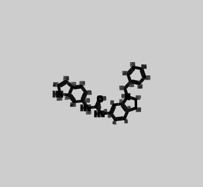 O=C(Nc1ccc2c(c1)N(Cc1ccccc1)CC2)Nc1ccc2cc[nH]c2c1